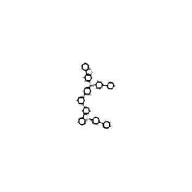 c1ccc(-c2ccc(N(c3ccc(-c4cccc(-c5ccc6c(c5)c5ccccc5n6-c5ccc(-c6ccccc6)cc5)c4)cc3)c3ccc4c(c3)sc3ccccc34)cc2)cc1